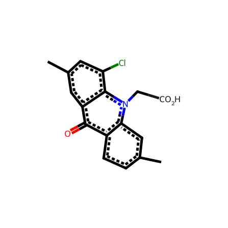 Cc1cc(Cl)c2c(c1)c(=O)c1ccc(C)cc1n2CC(=O)O